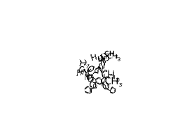 CCNC(=O)c1noc(-c2cc(C(C)C)c(OCc3ccccc3)cc2OCc2ccccc2)c1-c1cc2n(c1)CCN(C(=O)OC(C)(C)C)C2